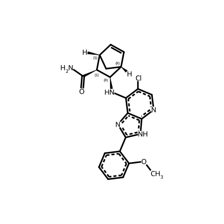 COc1ccccc1-c1nc2c(N[C@H]3[C@@H](C(N)=O)[C@@H]4C=C[C@H]3C4)c(Cl)cnc2[nH]1